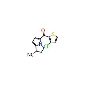 N#CC1CCn2c(C(=O)c3sccc3Cl)ccc21